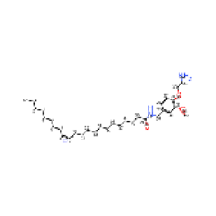 CCCCCCCC/C=C\CCCCCCCCCCCC(=O)NCc1ccc(OCCN)c(OC)c1